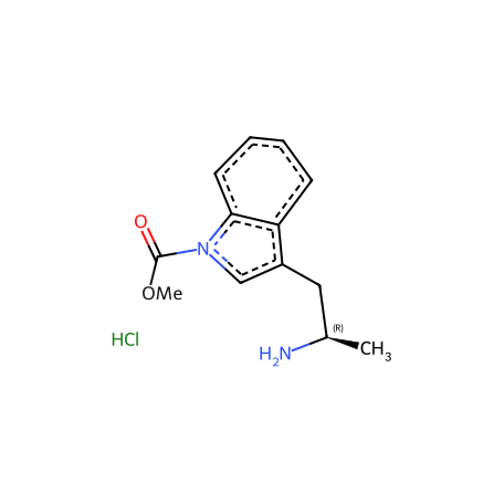 COC(=O)n1cc(C[C@@H](C)N)c2ccccc21.Cl